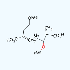 C=C(C(=O)O)C(C)OCCCC.C=C(CCOC)C(=O)O